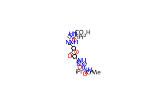 COC(=O)N[C@H](C(=O)N1CCC[C@H]1c1ncc(-c2cc3c4c(c2)Oc2ccc(-c5cnc([C@@H]6CCCN6C(=O)[C@@H](NC(=O)O)C(C)C)[nH]5)cc2C4CO3)[nH]1)C(C)C